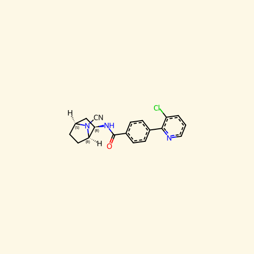 N#CN1[C@H]2CC[C@@H]1[C@H](NC(=O)c1ccc(-c3ncccc3Cl)cc1)C2